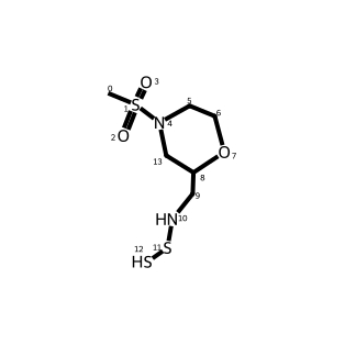 CS(=O)(=O)N1CCOC(CNSS)C1